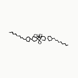 CCCCCCCCCC1CCC(C2CC[C@]3(CC2)C(=O)[C@@]2(CC[C@@H](C4CCC(CCCCCCCCC)CC4)CC2)C3(Cl)Cl)CC1